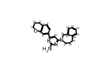 Nc1nc(-c2ccc3c(c2)OCCC3)cc(N2CCCc3ccccc3C2)n1